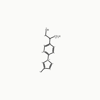 Cc1ccn(-c2ccc(C(CO)C(=O)O)cn2)c1